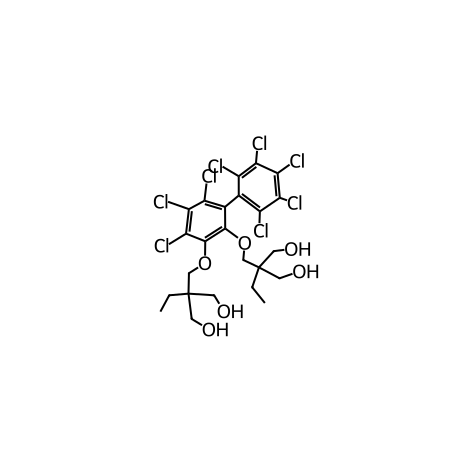 CCC(CO)(CO)COc1c(Cl)c(Cl)c(Cl)c(-c2c(Cl)c(Cl)c(Cl)c(Cl)c2Cl)c1OCC(CC)(CO)CO